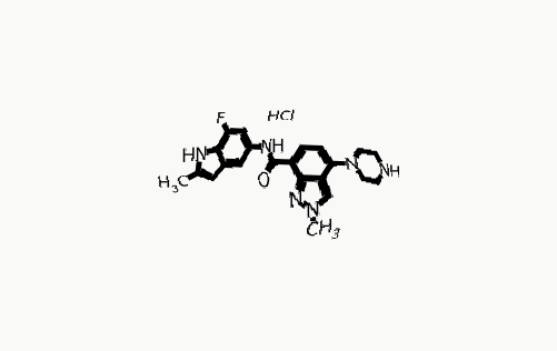 Cc1cc2cc(NC(=O)c3ccc(N4CCNCC4)c4cn(C)nc34)cc(F)c2[nH]1.Cl